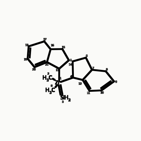 [CH3][Zr]([CH3])(=[SiH2])([CH]1CCC2CC=CC=C21)[CH]1CCC2CC=CC=C21